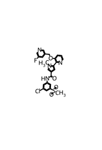 Cn1cc(C(=O)Nc2cc(Cl)cc(S(C)(=O)=O)c2)cc1-c1ncccc1OCc1cncc(F)c1